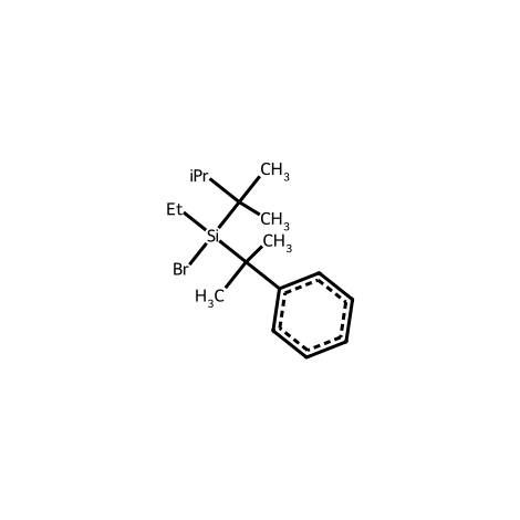 CC[Si](Br)(C(C)(C)c1ccccc1)C(C)(C)C(C)C